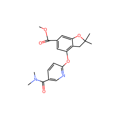 COC(=O)c1cc(Oc2ccc(C(=O)N(C)C)cn2)c2c(c1)OC(C)(C)C2